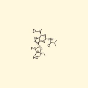 CC[C@@]1(CO)O[C@@H](n2cnc3c(N(C)C4CC4)nc(NC(=O)C(C)C)nc32)[C@H](F)[C@@H]1C